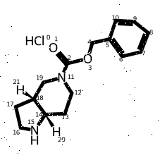 Cl.O=C(OCc1ccccc1)N1CC[C@@H]2NCC[C@@H]2C1